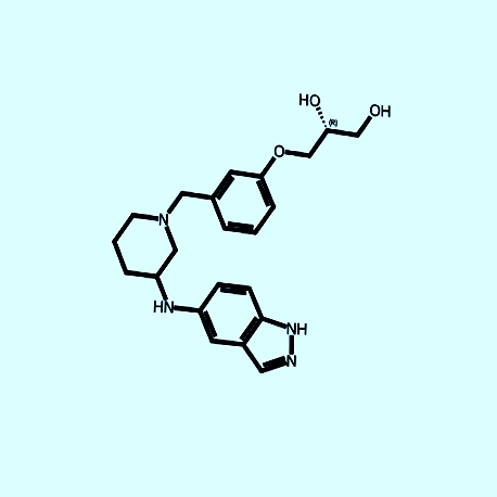 OC[C@@H](O)COc1cccc(CN2CCCC(Nc3ccc4[nH]ncc4c3)C2)c1